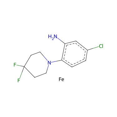 Nc1cc(Cl)ccc1N1CCC(F)(F)CC1.[Fe]